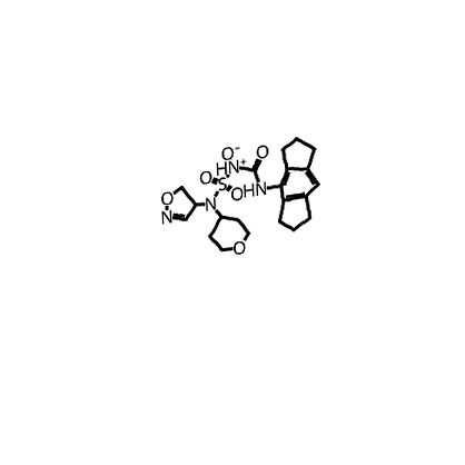 O=C(Nc1c2c(cc3c1CCC3)CCC2)[NH+]([O-])S(=O)(=O)N(C1C=NOC1)C1CCOCC1